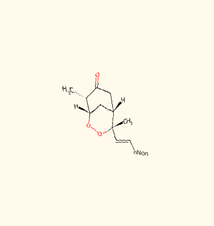 CCCCCCCCC/C=C/[C@]1(C)OO[C@H]2C[C@@H]1CC(=O)[C@H]2C